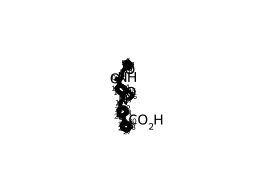 O=C(NCc1ccco1)c1ccc2c(c1)OCCN2Cc1ccc(-c2ccccc2C(=O)O)cc1